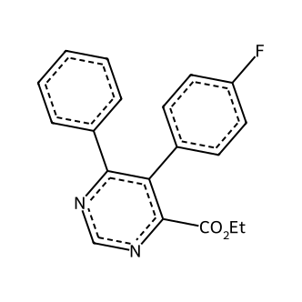 CCOC(=O)c1ncnc(-c2ccccc2)c1-c1ccc(F)cc1